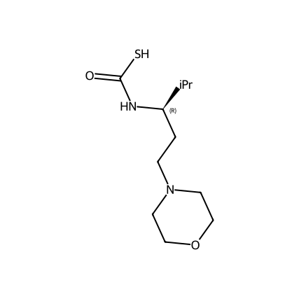 CC(C)[C@@H](CCN1CCOCC1)NC(=O)S